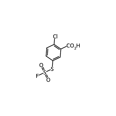 O=C(O)c1cc(SS(=O)(=O)F)ccc1Cl